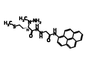 CSCC[C@@H](C(=O)NNCC(=O)Nc1ccc2ccc3cccc4ccc1c2c34)N(C)N